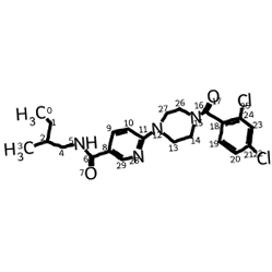 CCC(C)CNC(=O)c1ccc(N2CCN(C(=O)c3ccc(Cl)cc3Cl)CC2)nc1